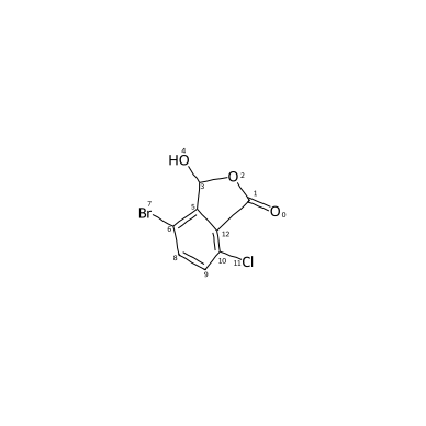 O=C1OC(O)c2c(Br)ccc(Cl)c21